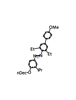 CCCCCCCCCCOc1ccc(/N=N/c2c(CC)cc(-c3ccc(OC)cc3)cc2CC)cc1C(C)C